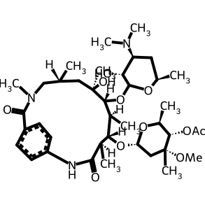 CO[C@]1(C)C[C@H](O[C@H]2[C@H](C)[C@@H](OC3O[C@H](C)C[C@H](N(C)C)[C@H]3O)[C@](C)(O)C[C@@H](C)CN(C)C(=O)c3ccc(cc3)NC(=O)[C@@H]2C)O[C@@H](C)[C@@H]1OC(C)=O